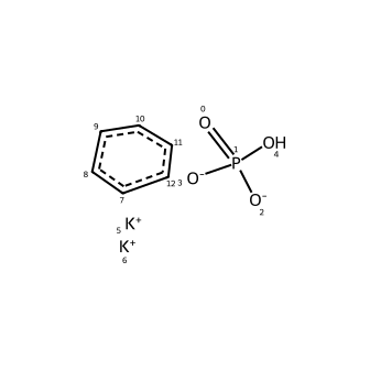 O=P([O-])([O-])O.[K+].[K+].c1ccccc1